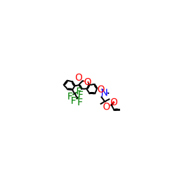 C=CC(=O)OC(C)(C)CN(C)Oc1ccc2cc(-c3ccccc3C(F)(F)C(F)(F)F)c(=O)oc2c1